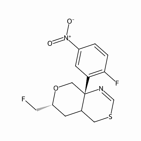 O=[N+]([O-])c1ccc(F)c([C@]23CO[C@@H](CF)CC2CSC=N3)c1